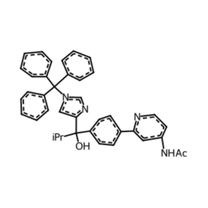 CC(=O)Nc1ccnc(-c2ccc(C(O)(c3cn(C(c4ccccc4)(c4ccccc4)c4ccccc4)cn3)C(C)C)cc2)c1